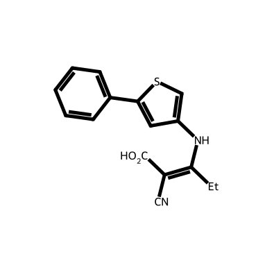 CCC(Nc1csc(-c2ccccc2)c1)=C(C#N)C(=O)O